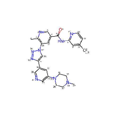 Cc1ncc(C(=O)Nc2cc(C(F)(F)F)ccn2)cc1-n1cc(-c2cncc(N3CCN(C)CC3)c2)nn1